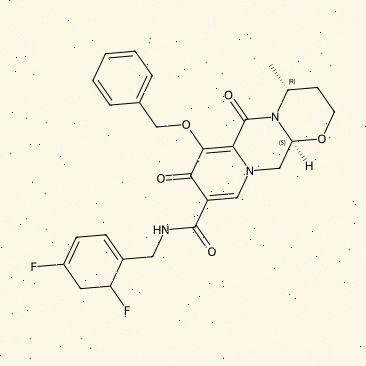 C[C@@H]1CCO[C@H]2Cn3cc(C(=O)NCC4=CC=C(F)CC4F)c(=O)c(OCc4ccccc4)c3C(=O)N12